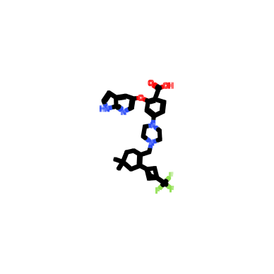 CC1(C)CCC(CN2CCN(c3ccc(C(=O)O)c(Oc4cnc5[nH]ccc5c4)c3)CC2)=C(C23CC(C(F)(F)F)(C2)C3)C1